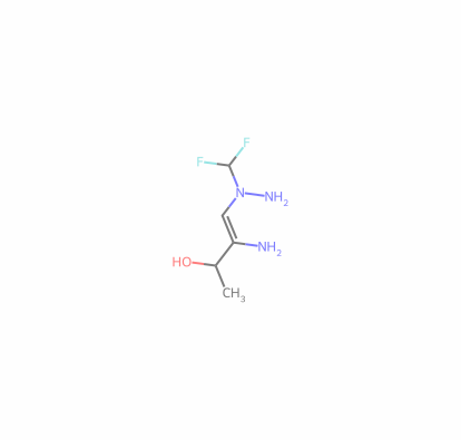 CC(O)/C(N)=C/N(N)C(F)F